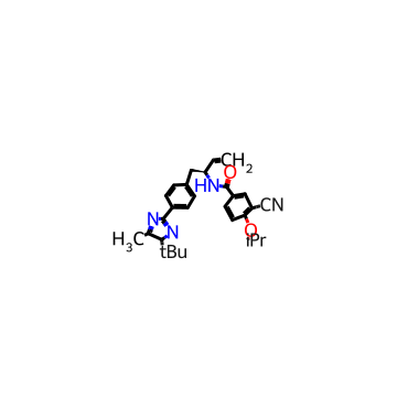 C=C[C@H](Cc1ccc(C2=NC(C(C)(C)C)C(C)=N2)cc1)NC(=O)c1ccc(OC(C)C)c(C#N)c1